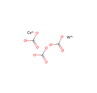 O=C([O-])[O-].O=C([O-])[O-].O=C([O-])[O-].[Ca+2].[W+4]